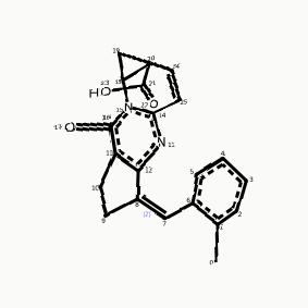 Cc1ccccc1/C=C1/CCc2c1nc1n(c2=O)C2CC2(C(=O)O)C=C1